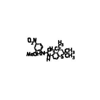 COc1cc([N+](=O)[O-])ccc1NC(=O)Nc1ccc2c(c1)C(C)(C)CC(C)(C)S2